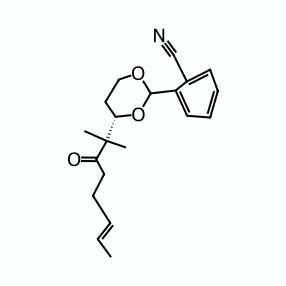 CC=CCCC(=O)C(C)(C)[C@@H]1CCOC(c2ccccc2C#N)O1